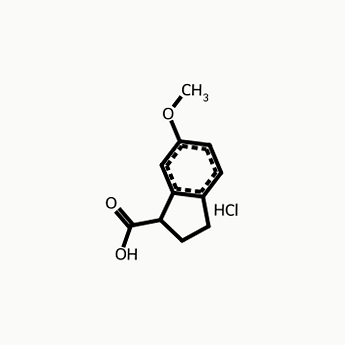 COc1ccc2c(c1)C(C(=O)O)CC2.Cl